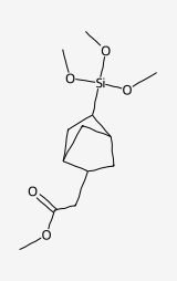 COC(=O)CC1CC2CC1CC2[Si](OC)(OC)OC